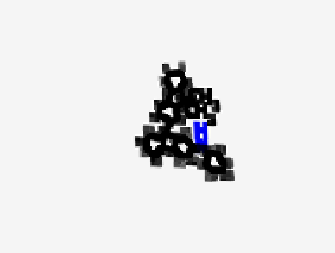 CC1(C)c2ccccc2-c2ccc(C3c4ccccc4-c4ccc(Nc5ccccc5)cc43)cc21